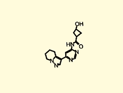 O=C(Nc1cc(-c2cnn3c2CCCC3)ncn1)C1CC(O)C1